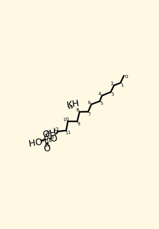 CCCCCCCCCCCCCOP(=O)(O)O.[KH]